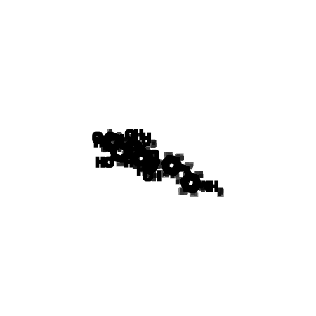 C[C@]12C=CC(=O)C=C1[C@H](O)C[C@@H]1[C@@H]2[C@@H](O)C[C@@]2(C)[C@H]1C[C@H]1O[C@@H](c3ccc(Cc4cccc(N)c4)cc3)O[C@]12C(=O)CO